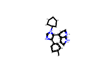 Cc1ccc(-c2ncn(C3CCCCC3)c2-c2ccnc3[nH]ccc23)cc1